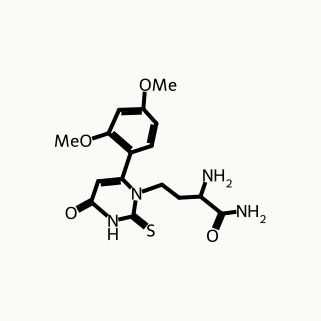 COc1ccc(-c2cc(=O)[nH]c(=S)n2CCC(N)C(N)=O)c(OC)c1